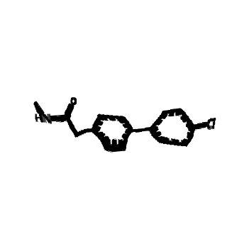 CNC(=O)Cc1ccc(-c2ccc(Cl)cc2)cc1